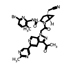 CC(=O)c1nn(CC(=O)N2[C@H](C(=O)Nc3nc(Br)ccc3C)C[C@@]3(CC#N)C[C@@H]23)c2cnc(-c3cnc(C)nc3)cc12